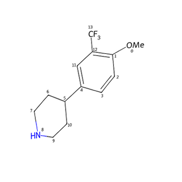 COc1ccc(C2CCNCC2)cc1C(F)(F)F